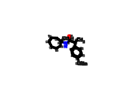 COc1ccc(C(C)C(=O)NC2(C(=O)O)CCCCCC2)cc1